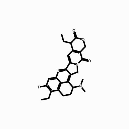 CCc1c(F)cc2nc3c(c4c2c1CCC4N(C)C)Cn1c-3cc2c(c1=O)COC(=O)C2CC